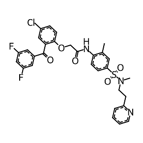 Cc1cc(S(=O)(=O)N(C)CCc2ccccn2)ccc1NC(=O)COc1ccc(Cl)cc1C(=O)c1cc(F)cc(F)c1